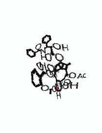 CC(=O)O[C@H]1C(=O)[C@@]2(C)C3[C@@H](OC(=O)c4ccccc4OC(C)O[C@]34CO[C@@H]4C[C@@H]2O)[C@]2(O)CC(OC(=O)C(O)C(NC(=O)c3ccccc3)c3ccccc3)C(C)=C1C2(C)C